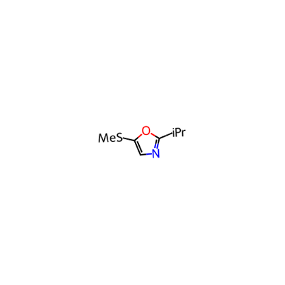 CSc1cnc(C(C)C)o1